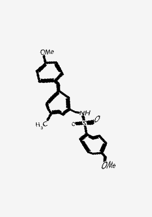 COc1ccc(-c2cc(C)cc(NS(=O)(=O)c3ccc(OC)cc3)c2)cc1